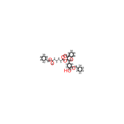 O=C(CCCCC(=O)Oc1c(-c2ccc(O)c(OCc3ccccc3)c2)oc2ccccc2c1=O)OCc1ccccc1